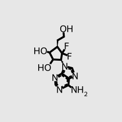 Nc1ncnc2c1ncn2[C@H]1C(O)C(O)[C@@H](CCO)C1(F)F